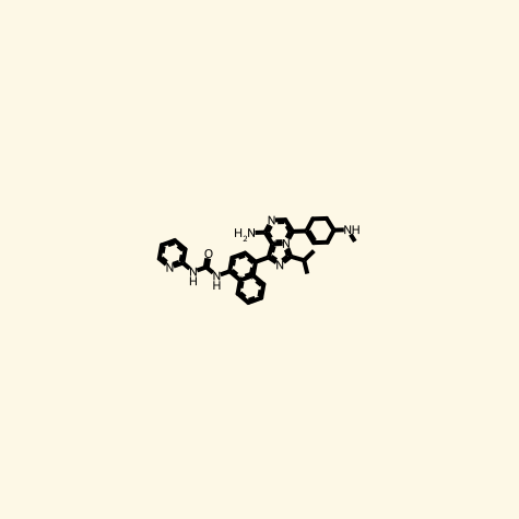 CNC1CC=C(c2cnc(N)c3c(-c4ccc(NC(=O)Nc5ccccn5)c5ccccc45)nc(C(C)C)n23)CC1